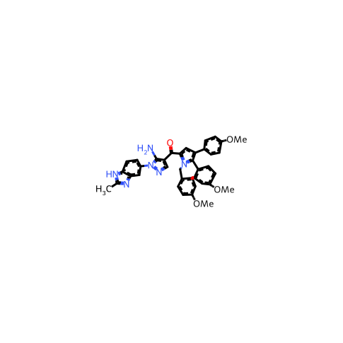 COc1ccc(Cn2c(C(=O)c3cnn(-c4ccc5[nH]c(C)nc5c4)c3N)cc(-c3ccc(OC)cc3)c2-c2ccc(OC)cc2)cc1